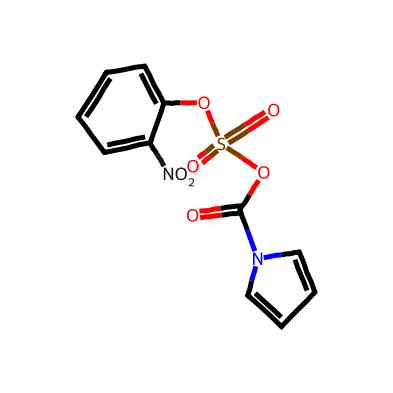 O=C(OS(=O)(=O)Oc1ccccc1[N+](=O)[O-])n1cccc1